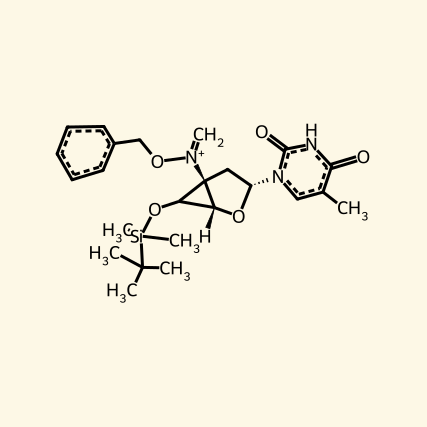 C=[N+](OCc1ccccc1)[C@@]12C[C@H](n3cc(C)c(=O)[nH]c3=O)O[C@@H]1C2O[Si](C)(C)C(C)(C)C